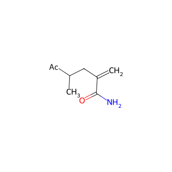 C=C(CC(C)C(C)=O)C(N)=O